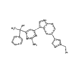 CC(=O)Cn1cc(-c2cnc3[nH]cc(-c4cc(C(C)(O)c5ccccc5)nc(N)n4)c3c2)cn1